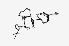 CC(C)(C)OC(=O)N1CCCC[C@H]1C(=O)c1ccc(Br)cc1